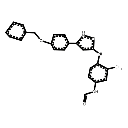 Cc1cc(NC=O)ccc1Nc1cc(-c2ccc(OCc3ccccc3)cc2)[nH]n1